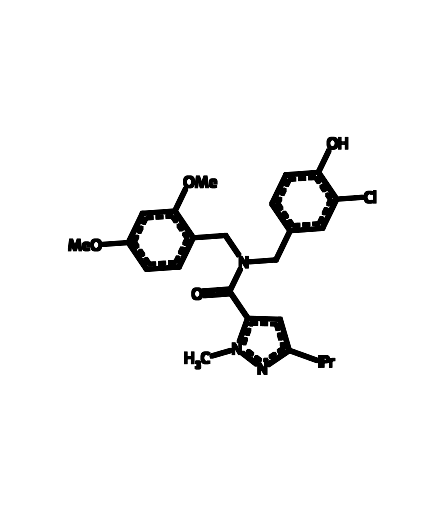 COc1ccc(CN(Cc2ccc(O)c(Cl)c2)C(=O)c2cc(C(C)C)nn2C)c(OC)c1